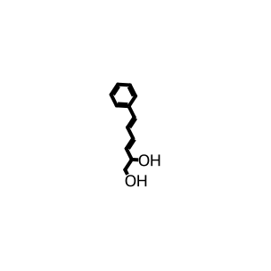 OCC(O)C=CC=Cc1ccccc1